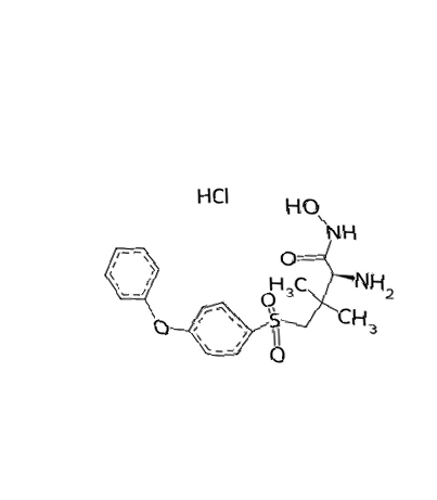 CC(C)(CS(=O)(=O)c1ccc(Oc2ccccc2)cc1)[C@H](N)C(=O)NO.Cl